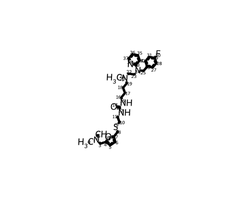 CN(C)Cc1ccc(CSCCNC(=O)NCCCCN(C)CCN(Cc2ccc(F)cc2)c2ccccn2)o1